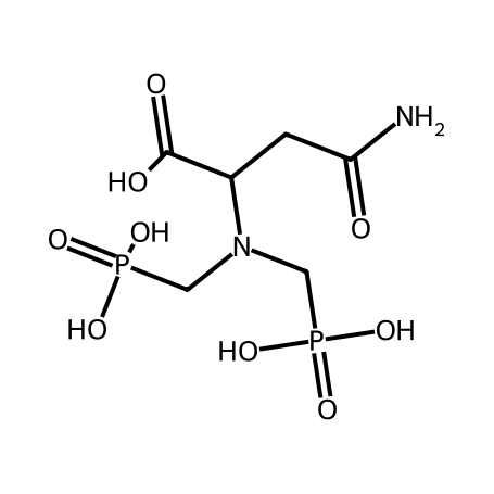 NC(=O)CC(C(=O)O)N(CP(=O)(O)O)CP(=O)(O)O